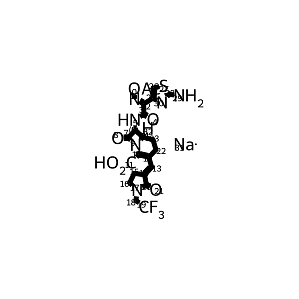 CC(=O)ON=C(C(=O)N[C@@H]1C(=O)N2C(C(=O)O)=C(C=C3CCN(CC(F)(F)F)C3=O)CC[C@H]12)c1csc(N)n1.[Na]